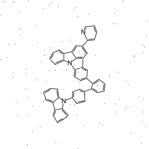 c1ccc(-c2cc3c4ccccc4n4c5ccc(-c6ccccc6-c6ccc(-n7c8ccccc8c8ccccc87)cc6)cc5c(c2)c34)nc1